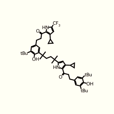 CC(C)(C)c1cc(CCC(=O)c2[nH]c(C(C)(C)CCC(C)(C)c3cc(CCC(=O)c4[nH]c(C(F)(F)F)cc4C4CC4)cc(C(C)(C)C)c3O)cc2C2CC2)cc(C(C)(C)C)c1O